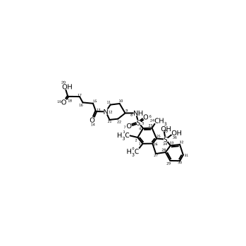 Cc1c(C)c(S(=O)(=O)NC2CCN(C(=O)CCCC(=O)O)CC2)c(C)c2c1Cc1ccccc1S2(O)O